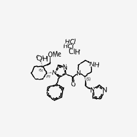 COC[C@]1(O)CCCC[C@H]1n1cnc(C(=O)N2CCNC[C@H]2Cn2ccnc2)c1-c1ccccc1.Cl.Cl.Cl